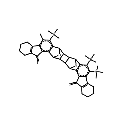 Cc1c2c(c3c(c1[Si](C)(C)C)C1OC3C3C4C5OC(c6c5c5c(c([Si](C)(C)C)c6[Si](C)(C)C)C6=C(CCCC6)C5=O)C4C13)C(=O)C1=C2CCCC1